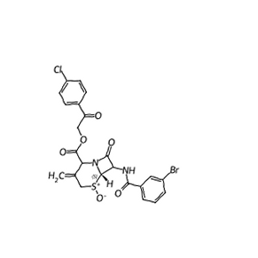 C=C1C[S+]([O-])[C@H]2C(NC(=O)c3cccc(Br)c3)C(=O)N2C1C(=O)OCC(=O)c1ccc(Cl)cc1